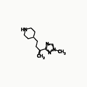 C=C(CCC1CCNCC1)c1ncn(C)n1